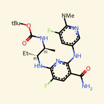 CC[C@@H](Nc1nc(Nc2cnc(NC)c(F)c2)c(C(N)=O)cc1F)[C@H](C)NC(=O)OC(C)(C)C